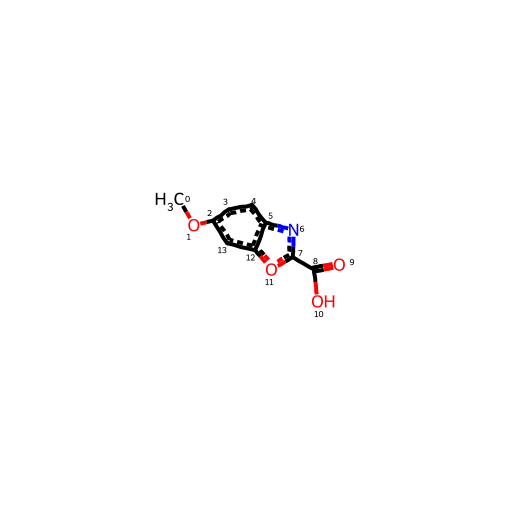 COc1ccc2nc(C(=O)O)oc2c1